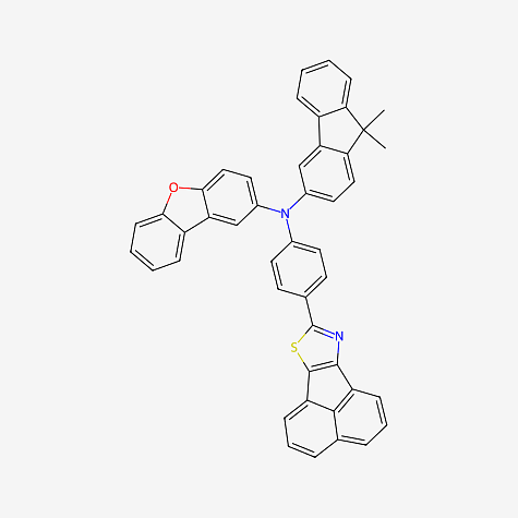 CC1(C)c2ccccc2-c2cc(N(c3ccc(-c4nc5c(s4)-c4cccc6cccc-5c46)cc3)c3ccc4oc5ccccc5c4c3)ccc21